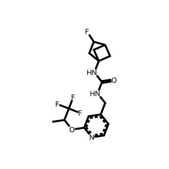 CC(Oc1cc(CNC(=O)NC23CC(F)C(C2)C3)ccn1)C(F)(F)F